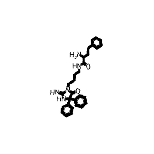 N=C1NC(c2ccccc2)(c2ccccc2)C(=O)N1CCCCNC(=O)C(N)CCc1ccccc1